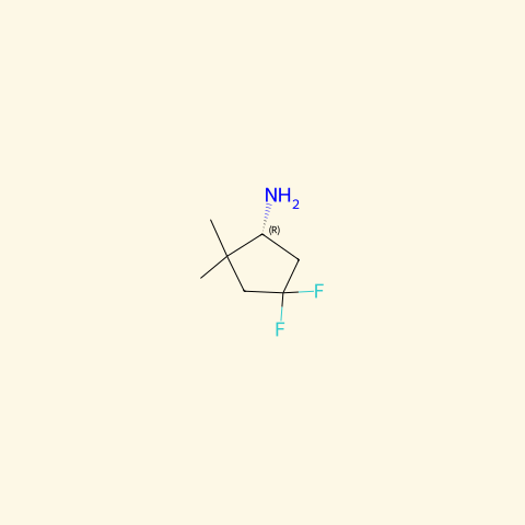 CC1(C)CC(F)(F)C[C@H]1N